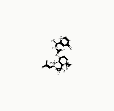 CO[C@@H]1[C@H](OC(=O)N[C@H](c2cc(=O)cc[nH]2)C(C)C)CC[C@]2(CO2)[C@H]1[C@@]1(C)O[C@@H]1CC=C(C)C